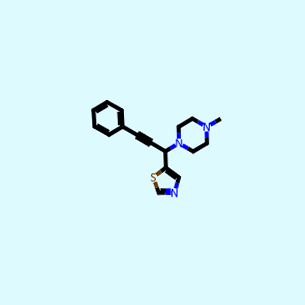 CN1CCN(C(C#Cc2ccccc2)c2cncs2)CC1